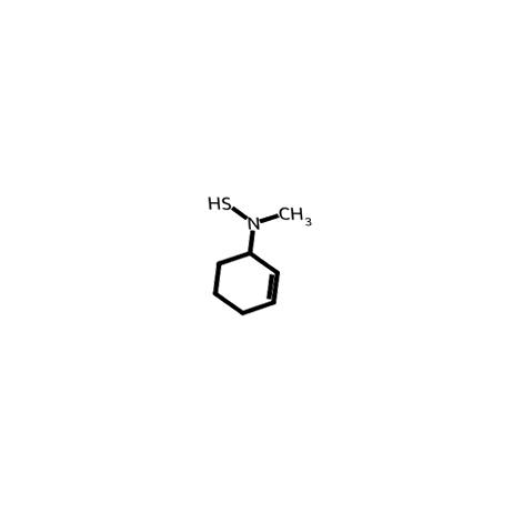 CN(S)C1C=CCCC1